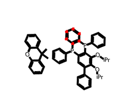 CC(C)Oc1c(-c2ccccc2)cc(P(c2ccccc2)c2ccccc2)c(P(c2ccccc2)c2ccccc2)c1OC(C)C.CC1(C)c2ccccc2Oc2ccccc21